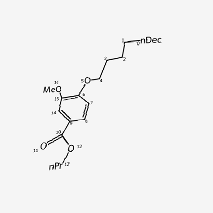 CCCCCCCCCCCCCCOc1ccc(C(=O)OCCC)cc1OC